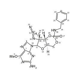 COc1nc(N)nc2c1ncn2C1O[C@@H]2COP(=O)(NCc3ccccc3)O[C@H]2[C@@]1(C)N=[N+]=[N-]